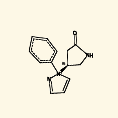 O=C1C[C@H]([N+]2(c3ccccc3)C=CC=N2)CN1